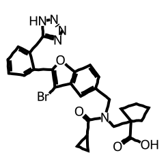 O=C(C1CC1)N(Cc1ccc2oc(-c3ccccc3-c3nnn[nH]3)c(Br)c2c1)CC1(C(=O)O)CCCC1